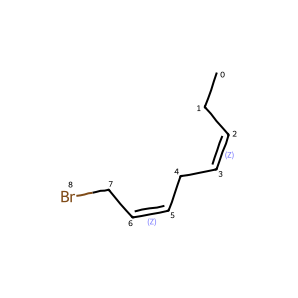 CC/C=C\C/C=C\CBr